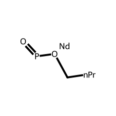 CCCCOP=O.[Nd]